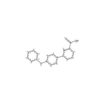 O=C(O)c1cccc(-c2ccc(Oc3ccccc3)cc2)n1